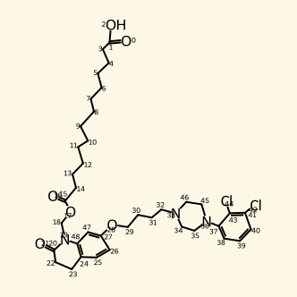 O=C(O)CCCCCCCCCCCCC(=O)OCN1C(=O)CCc2ccc(OCCCCN3CCN(c4cccc(Cl)c4Cl)CC3)cc21